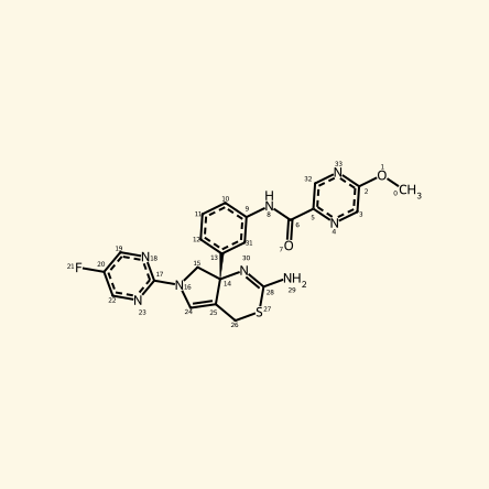 COc1cnc(C(=O)Nc2cccc([C@]34CN(c5ncc(F)cn5)C=C3CSC(N)=N4)c2)cn1